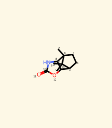 CC1(C)C2CCC1(C)C1NC(=O)OC21